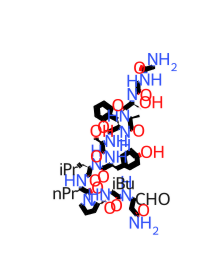 CCC[C@H](NC(=O)[C@H](CC(C)C)NC(=O)[C@H](Cc1ccc(O)cc1)NC(=O)[C@@H](CO)NC(=O)[C@H](Cc1ccccc1)NC(=O)[C@H](C)NC(=O)[C@@H](CO)NC(=O)CNC(=O)CN)C(=O)N1CCC[C@H]1C(=O)N[C@H](C(=O)N[C@@H](C=O)CC(N)=O)[C@@H](C)CC